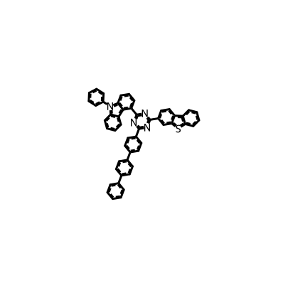 c1ccc(-c2ccc(-c3ccc(-c4nc(-c5ccc6c(c5)sc5ccccc56)nc(-c5cccc6c5c5ccccc5n6-c5ccccc5)n4)cc3)cc2)cc1